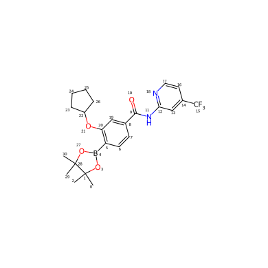 CC1(C)OB(c2ccc(C(=O)Nc3cc(C(F)(F)F)ccn3)cc2OC2CCCC2)OC1(C)C